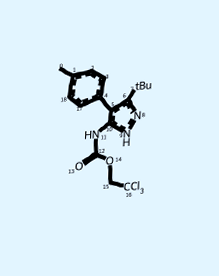 Cc1ccc(-c2c(C(C)(C)C)n[nH]c2NC(=O)OCC(Cl)(Cl)Cl)cc1